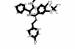 CNC(=O)C(N[C@H](CCc1cnc(Cl)cn1)c1ccc(F)c(OC(F)(F)F)c1)c1ccccc1